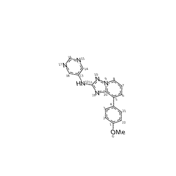 COc1ccc(-c2cccn3nc(Nc4cncnc4)nc23)cc1